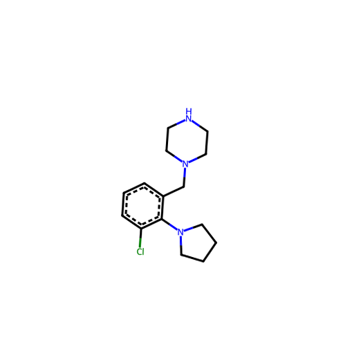 Clc1cccc(CN2CCNCC2)c1N1CCCC1